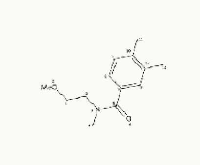 COCCN(C)C(=O)c1ccc(C)c(C)c1